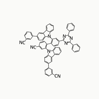 N#Cc1cccc(-c2ccc3c(c2)c2ccccc2n3-c2cc(C#N)ccc2-c2ccc(-c3nc(-c4ccccc4)nc(-c4ccccc4)n3)cc2-n2c3ccccc3c3cc(-c4cccc(C#N)c4)ccc32)c1